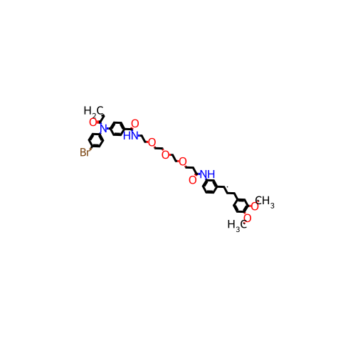 C=CC(=O)N(c1ccc(Br)cc1)c1ccc(C(=O)NCCOCCOCCOCCC(=O)Nc2cccc([CH]CCc3ccc(OC)c(OC)c3)c2)cc1